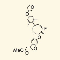 C=C1/C(F)=C\C=C(\c2c(C)cc(O[C@H]3CCOC3)cc2C)CCC[C@H]1Oc1ccc2c(c1)OC[C@H]2CC(=O)OC